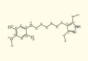 CCc1n[nH]c(CC)c1CCCCCCOc1cc(Cl)c(OC)cc1Cl